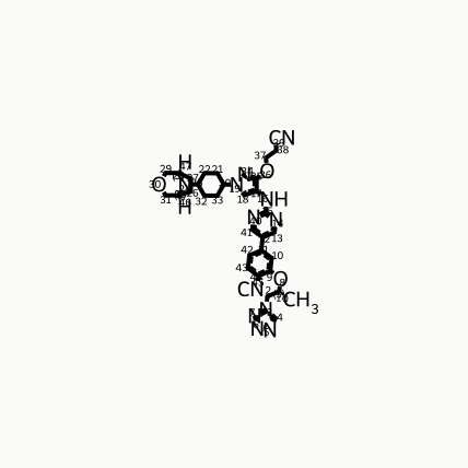 C[C@@H](Cn1cnnn1)Oc1cc(-c2cnc(Nc3cn(C4CCC(N5[C@@H]6CC[C@H]5COC6)CC4)nc3OCCC#N)nc2)ccc1C#N